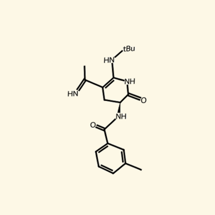 CC(=N)C1=C(NC(C)(C)C)NC(=O)[C@@H](NC(=O)c2cccc(C)c2)C1